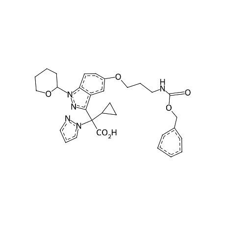 O=C(NCCCOc1ccc2c(c1)c(C(C(=O)O)(C1CC1)n1cccn1)nn2C1CCCCO1)OCc1ccccc1